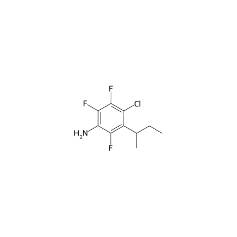 CCC(C)c1c(F)c(N)c(F)c(F)c1Cl